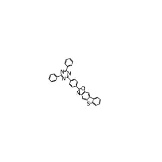 c1ccc(-c2nc(-c3ccccc3)nc(-c3ccc(-c4nc5cc6sc7ccccc7c6cc5o4)cc3)n2)cc1